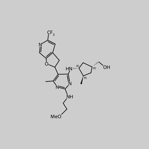 COCCNc1nc(C)c(C2Cc3cc(C(F)(F)F)ncc3O2)c(N[C@@H]2C[C@H](CO)C[C@H]2C)n1